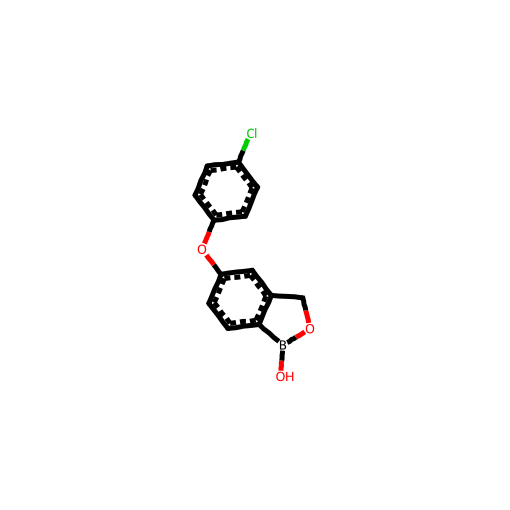 OB1OCc2cc(Oc3ccc(Cl)cc3)ccc21